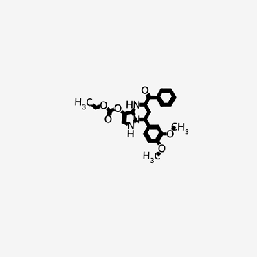 CCOC(=O)OC1=CNN2C1NC(C(=O)c1ccccc1)CC2c1ccc(OC)c(OC)c1